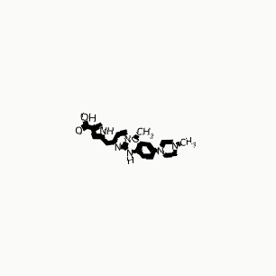 COc1cc(N2CCN(C)CC2)ccc1Nc1nccc(Cc2cc(C(=O)O)c[nH]2)n1